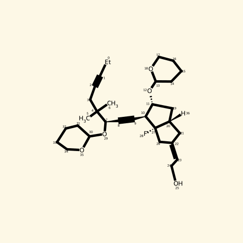 CCC#CCC(C)(C)[C@@H](C#C[C@H]1[C@H](OC2CCCCO2)C[C@@H]2C/C(=C/CO)C[C@]21F)OC1CCCCO1